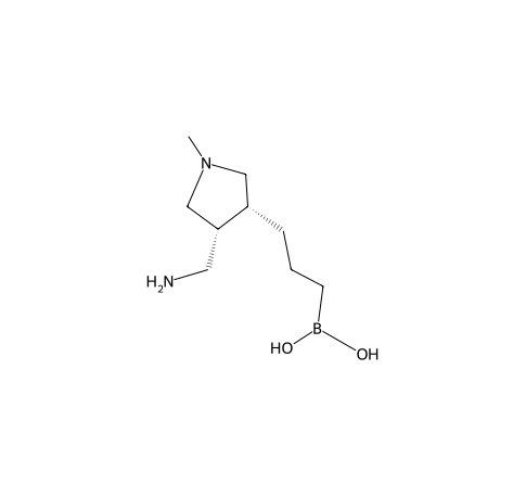 CN1C[C@@H](CN)[C@@H](CCCB(O)O)C1